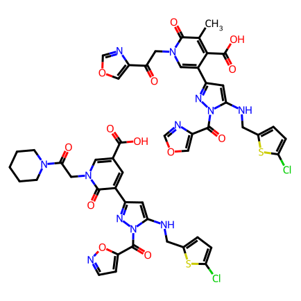 Cc1c(C(=O)O)c(-c2cc(NCc3ccc(Cl)s3)n(C(=O)c3cocn3)n2)cn(CC(=O)c2cocn2)c1=O.O=C(O)c1cc(-c2cc(NCc3ccc(Cl)s3)n(C(=O)c3ccno3)n2)c(=O)n(CC(=O)N2CCCCC2)c1